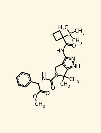 COC(=O)[C@@H](NC(=O)N1Cc2c(NC(=O)C3(S(C)(C)C)CCC3)n[nH]c2C1(C)C)c1ccccc1